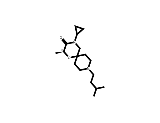 CC(C)CCN1CCC2(CC1)CN(C1CC1)C(=O)[C@H](C)O2